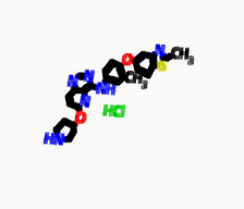 Cc1nc2cc(Oc3ccc(Nc4ncnc5ccc(OC6CCNCC6)nc45)cc3C)ccc2s1.Cl